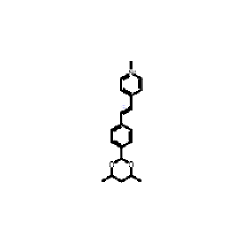 CC1CC(C)OC(c2ccc(/C=C/c3cc[n+](C)cc3)cc2)O1